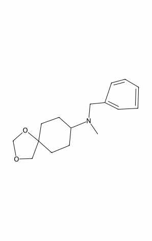 CN(Cc1ccccc1)C1CCC2(CC1)COCO2